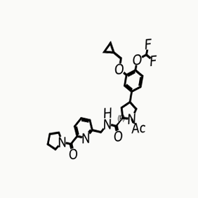 CC(=O)N1CC(c2ccc(OC(F)F)c(OCC3CC3)c2)C[C@@H]1C(=O)NCc1cccc(C(=O)N2CCCC2)n1